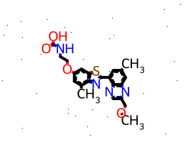 COCc1cnc2c(-c3nc4c(C)cc(OCCNC(=O)O)cc4s3)cc(C)cc2n1